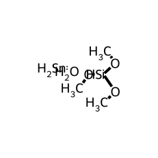 CO[SiH](OC)OC.O.[SnH2]